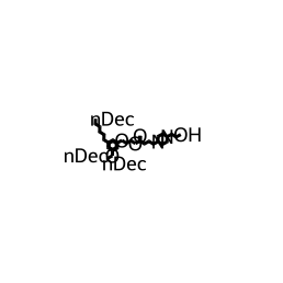 CCCCCCCCCCCCCCCc1cc(OCCOC(=O)CCCN2CCN(CCO)CC2)cc(OC(CCCCCCCCCC)CCCCCCCCCC)c1